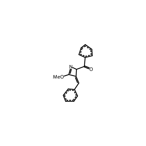 COC1=NC(C(=O)c2ccccc2)C1=Cc1ccccc1